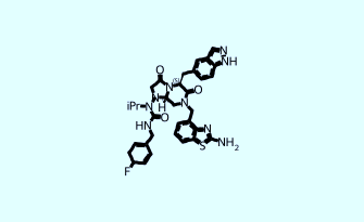 CC(C)N(C(=O)NCC1=CCC(F)C=C1)N1CC(=O)N2[C@@H](Cc3ccc4[nH]ncc4c3)C(=O)N(Cc3cccc4sc(N)nc34)C[C@@H]21